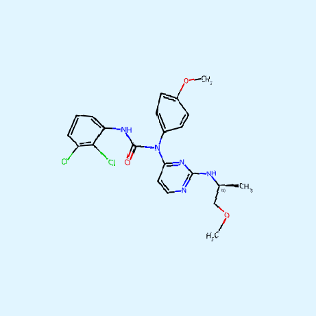 COC[C@H](C)Nc1nccc(N(C(=O)Nc2cccc(Cl)c2Cl)c2ccc(OC)cc2)n1